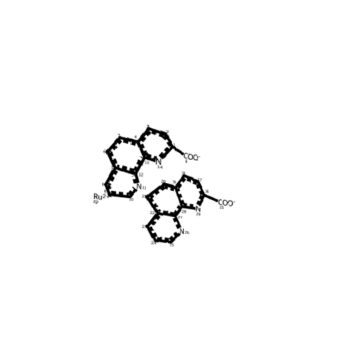 O=C([O-])c1ccc2ccc3cccnc3c2n1.O=C([O-])c1ccc2ccc3cccnc3c2n1.[Ru+2]